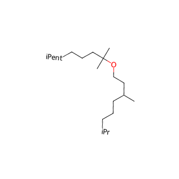 CCCC(C)CCCC(C)(C)OCCC(C)CCCC(C)C